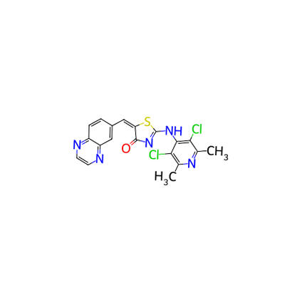 Cc1nc(C)c(Cl)c(NC2=NC(=O)C(=Cc3ccc4nccnc4c3)S2)c1Cl